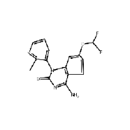 Cc1ncccc1-n1c(=O)nc(N)c2ccc(OC(F)F)cc21